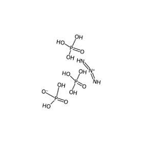 N=[N+]=N.O=P(O)(O)O.O=P(O)(O)O.O=P([O-])(O)O